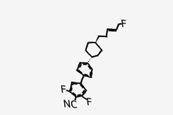 N#Cc1c(F)cc(-c2ccc([C@H]3CC[C@H](CCC=CCF)CC3)cc2)cc1F